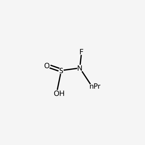 CCCN(F)S(=O)O